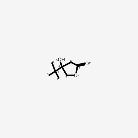 CC(C)(C)C1(O)COC(=O)C1